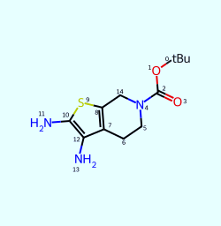 CC(C)(C)OC(=O)N1CCc2c(sc(N)c2N)C1